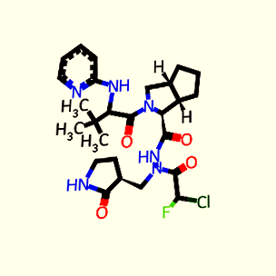 CC(C)(C)C(Nc1ccccn1)C(=O)N1C[C@@H]2CCC[C@@H]2[C@H]1C(=O)NN(C[C@@H]1CCNC1=O)C(=O)C(F)Cl